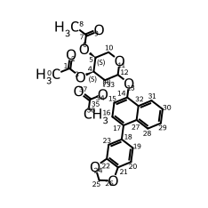 CC(=O)O[C@H]1[C@@H](OC(C)=O)COC(Oc2ccc(-c3ccc4c(c3)OCO4)c3ccccc23)[C@@H]1OC(C)=O